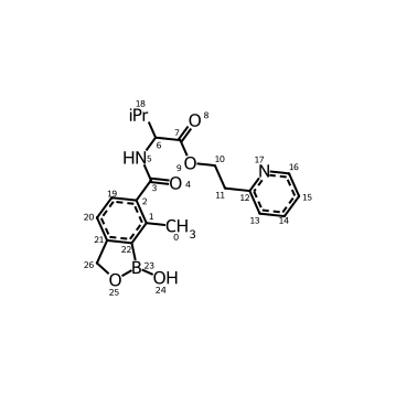 Cc1c(C(=O)NC(C(=O)OCCc2ccccn2)C(C)C)ccc2c1B(O)OC2